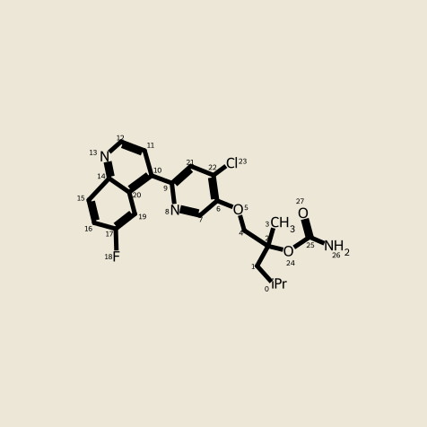 CC(C)CC(C)(COc1cnc(-c2ccnc3ccc(F)cc23)cc1Cl)OC(N)=O